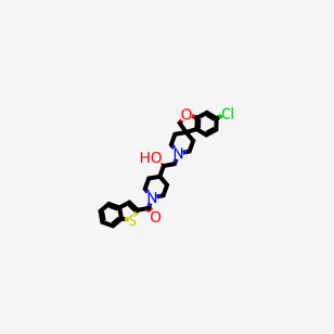 O=C(c1cc2ccccc2s1)N1CCC([C@H](O)CN2CCC3(CC2)COc2cc(Cl)ccc23)CC1